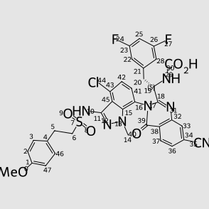 COc1ccc(CCS(=O)(=O)Nc2nn(C)c3c(-n4c([C@H](Cc5cc(F)cc(F)c5)NC(=O)O)nc5cc(C#N)ccc5c4=O)ccc(Cl)c23)cc1